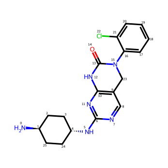 N[C@H]1CC[C@H](Nc2ncc3c(n2)NC(=O)N(c2ccccc2Cl)C3)CC1